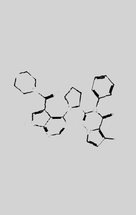 O=C(c1c[nH]c2ncnc(N3CCC[C@H]3c3nn4ccc(Cl)c4c(=O)n3-c3ccccc3)c12)N1CCOCC1